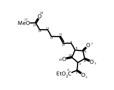 CCOC(=O)C(=O)C1C(=O)C(=O)C(CC=CCCCC(=O)OC)C1=O